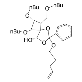 C=CCCCOC1(c2ccccc2)O[C@H](O)C2(O1)C(COCCCC)[C@@H](OCCCC)C2OCCCC